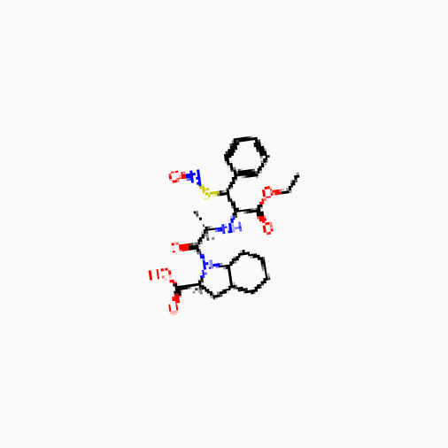 CCOC(=O)C(N[C@@H](C)C(=O)N1C2CCCCC2C[C@H]1C(=O)O)C(SN=O)c1ccccc1